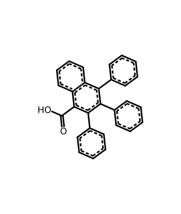 O=C(O)c1c(-c2ccccc2)c(-c2ccccc2)c(-c2ccccc2)c2ccccc12